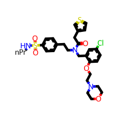 CCCNS(=O)(=O)c1ccc(CCN(Cc2cc(Cl)ccc2OCCN2CCOCC2)C(=O)Cc2ccsc2)cc1